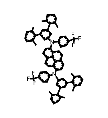 Cc1cccc(C)c1-c1cc(-c2c(C)cccc2C)cc(N(c2ccc(C(F)(F)F)cc2)c2ccc3ccc4c(N(c5ccc(C(F)(F)F)cc5)c5cc(-c6c(C)cccc6C)cc(-c6c(C)cccc6C)c5)ccc5ccc2c3c54)c1